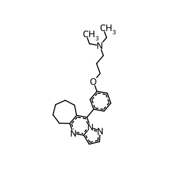 CCN(CC)CCCOc1cccc(-c2c3c(nc4ccnn24)CCCCC3)c1